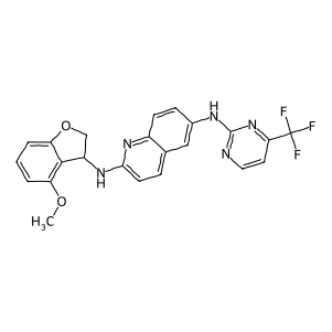 COc1cccc2c1C(Nc1ccc3cc(Nc4nccc(C(F)(F)F)n4)ccc3n1)CO2